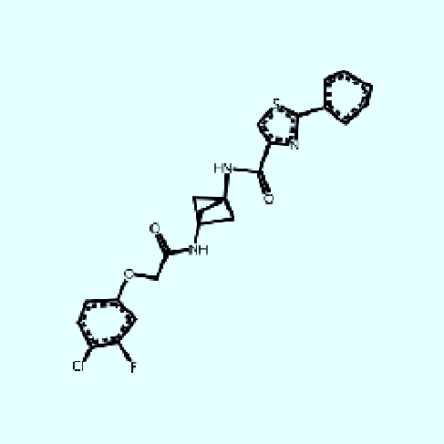 O=C(COc1ccc(Cl)c(F)c1)NC12CC(NC(=O)c3csc(-c4ccccc4)n3)(C1)C2